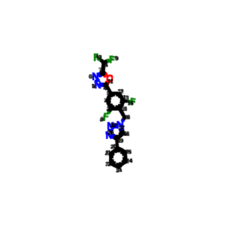 Fc1cc(-c2nnc(C(F)F)o2)cc(F)c1Cn1cc(-c2ccccc2)nn1